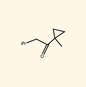 CC(C)CC(=O)C1(C)CC1